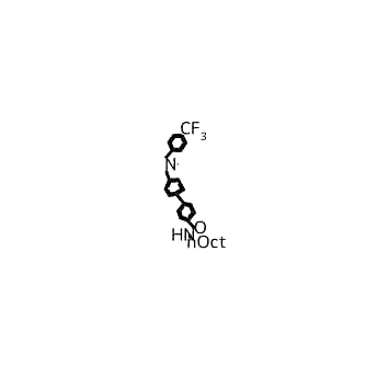 CCCCCCCCNC(=O)c1ccc(-c2ccc(C[N]Cc3ccc(C(F)(F)F)cc3)cc2)cc1